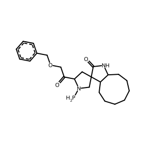 O=C(COCc1ccccc1)C1CC2(CN1P)C(=O)NC1CCCCCCCC12